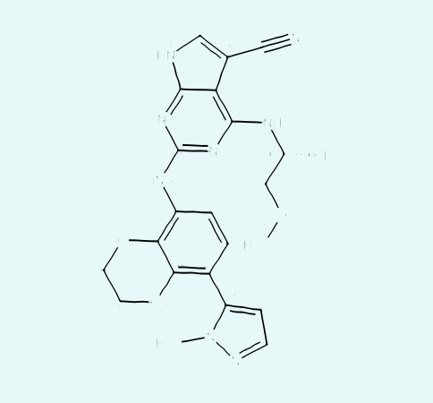 COC[C@@H](C)Nc1nc(Nc2ccc(-c3ccnn3C)c3c2OCCO3)nc2[nH]cc(C#N)c12